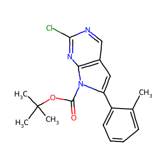 Cc1ccccc1-c1cc2cnc(Cl)nc2n1C(=O)OC(C)(C)C